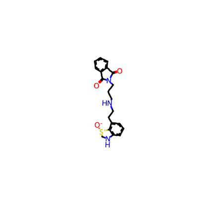 O=C1c2ccccc2C(=O)N1CCCNCCc1cccc2c1[S+]([O-])CN2